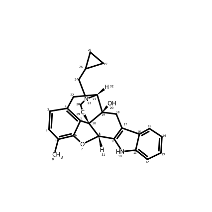 Cc1ccc2c3c1O[C@H]1c4[nH]c5ccccc5c4C[C@@]4(O)[C@@H](C2)N(CC2CC2)CC[C@]314